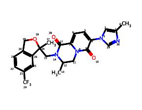 Cc1cn(-c2ccc3n(c2=O)CC(C)N(CC2(C)OCc4ccc(C(F)(F)F)cc42)C3=O)cn1